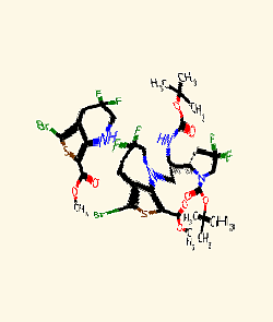 COC(=O)c1sc(Br)c2c1N(C[C@@H](NC(=O)OC(C)(C)C)[C@@H]1CC(F)(F)CN1C(=O)OC(C)(C)C)CC(F)(F)C2.COC(=O)c1sc(Br)c2c1NCC(F)(F)C2